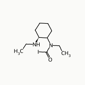 CCN[C@H]1CCCCC1N(CC)C(=O)I